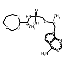 C[C@H](Cn1cnc2c(N)ncnc21)OCP(=O)(O)N[C@@H](C)C1OCCCCCO1